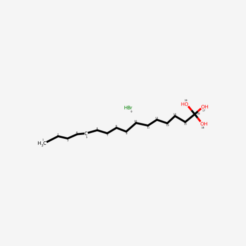 Br.CCCCCCCCCCCCCCCC(O)(O)O